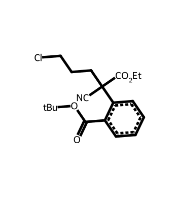 CCOC(=O)C(C#N)(CCCCl)c1ccccc1C(=O)OC(C)(C)C